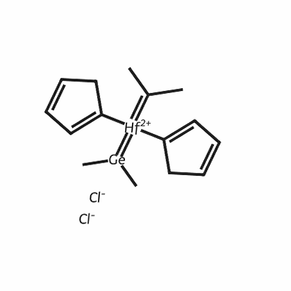 C[C](C)=[Hf+2]([C]1=CC=CC1)([C]1=CC=CC1)=[Ge]([CH3])[CH3].[Cl-].[Cl-]